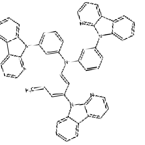 C=C/C=C(\C=C\N(c1cccc(-n2c3ccccc3c3cccnc32)c1)c1cccc(-n2c3ccccc3c3cccnc32)c1)n1c2ccccc2c2cccnc21